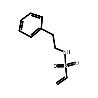 C=CS(=O)(=O)NCCc1ccccc1